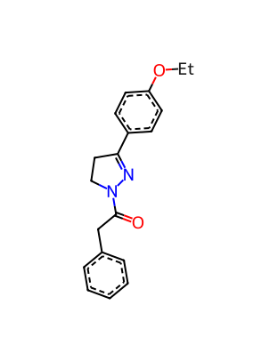 CCOc1ccc(C2=NN(C(=O)Cc3ccccc3)CC2)cc1